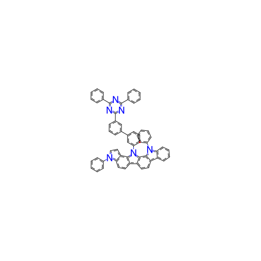 c1ccc(-c2nc(-c3ccccc3)nc(-c3cccc(-c4cccc(-n5c6c(ccc7c6ccn7-c6ccccc6)c6ccc7c8ccccc8n(-c8ccccc8)c7c65)c4)c3)n2)cc1